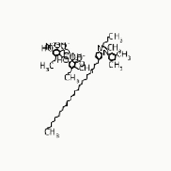 CCCCCCCCCCCCCCCCCCCCCCCCCCCc1ccc(N=C(CCCC)C(C)=Nc2cc(C)cc(C)c2)cc1.CCCc1cc(O)c(O)c(C(=O)[O-])c1CC.CCCc1cc(O)c(O)c(C(=O)[O-])c1CC.[Ni+2]